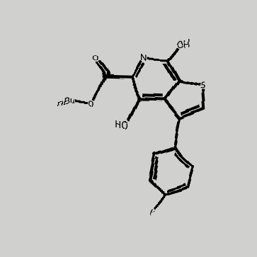 CCCCOC(=O)c1nc(O)c2scc(-c3ccc(F)cc3)c2c1O